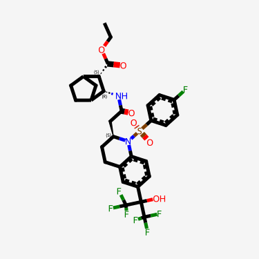 CCOC(=O)[C@H]1C2CCC(C2)[C@H]1NC(=O)C[C@@H]1CCc2cc(C(O)(C(F)(F)F)C(F)(F)F)ccc2N1S(=O)(=O)c1ccc(F)cc1